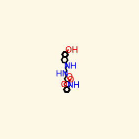 O=C(CC1Oc2ccccc2NC1=O)NCCNC1CCc2ccc(O)cc2C1